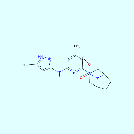 COC(=O)N1C2CCC1CN(c1cc(C)cc(Nc3cc(C)[nH]n3)n1)C2